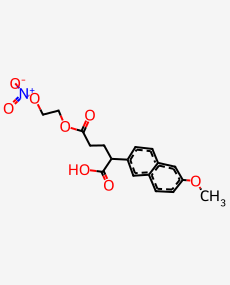 COc1ccc2cc(C(CCC(=O)OCCO[N+](=O)[O-])C(=O)O)ccc2c1